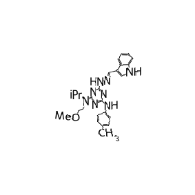 COCCN(c1nc(N/N=C/c2c[nH]c3ccccc23)nc(Nc2ccc(C)cc2)n1)C(C)C